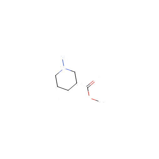 CC(C)(C)OC(=O)[C@@H]1CCCN(N)C1.Cl